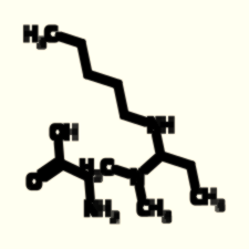 CCCCCNC(CC)N(C)C.NCC(=O)O